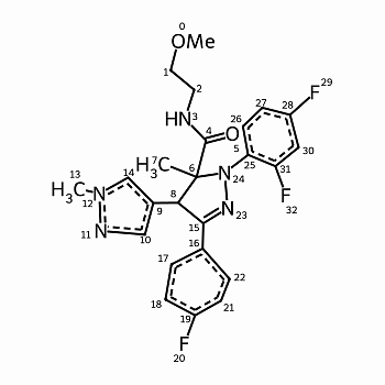 COCCNC(=O)C1(C)C(c2cnn(C)c2)C(c2ccc(F)cc2)=NN1c1ccc(F)cc1F